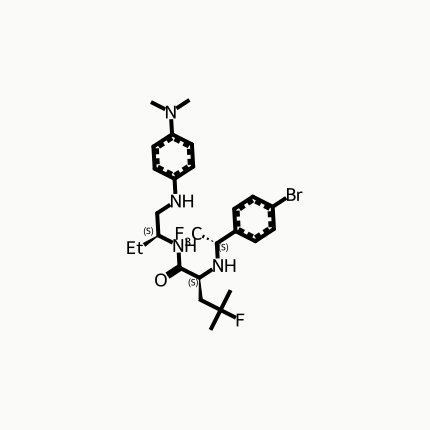 CC[C@@H](CNc1ccc(N(C)C)cc1)NC(=O)[C@H](CC(C)(C)F)N[C@@H](c1ccc(Br)cc1)C(F)(F)F